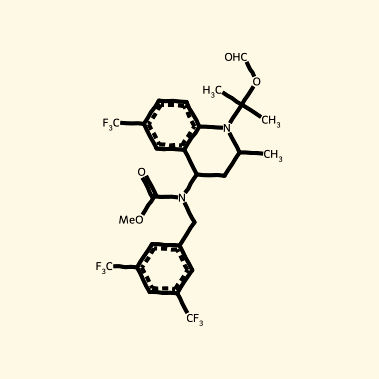 COC(=O)N(Cc1cc(C(F)(F)F)cc(C(F)(F)F)c1)C1CC(C)N(C(C)(C)OC=O)c2ccc(C(F)(F)F)cc21